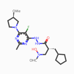 CO[C@@H]1CCN(c2nc(C)nc(NNC(=O)[C@H](CC3CCCC3)CN(O)C=O)c2F)C1